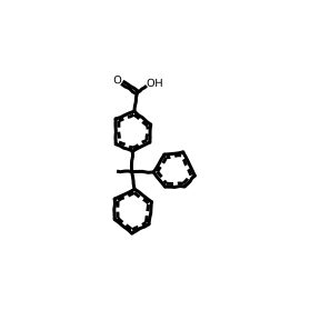 CC(c1ccccc1)(c1ccccc1)c1ccc(C(=O)O)cc1